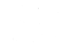 CC(C)C[O][Zr+2][O]CC(C)C.CCCC(=O)CC(=O)[O-].CCCC(=O)CC(=O)[O-]